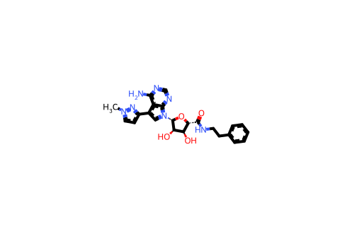 Cn1ccc(-c2cn([C@@H]3O[C@H](C(=O)NCCc4ccccc4)[C@@H](O)[C@H]3O)c3ncnc(N)c23)n1